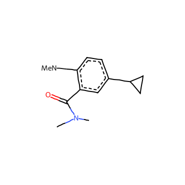 CNc1ccc(C2CC2)cc1C(=O)N(C)C